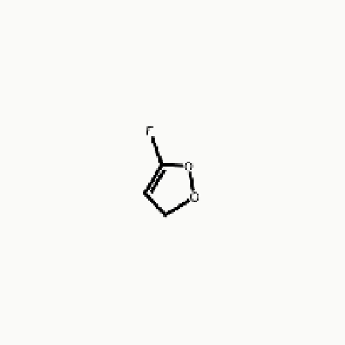 FC1=CCOO1